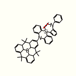 CC1(C)C2=CC=CC3C2B2C4C1=CC=CC4C(C)(C)C1C=C(N4c5ccccc5[Si]5(c6ccccc64)c4ccccc4N(c4ccccc4)c4ccccc45)C=C(C21)C3(C)C